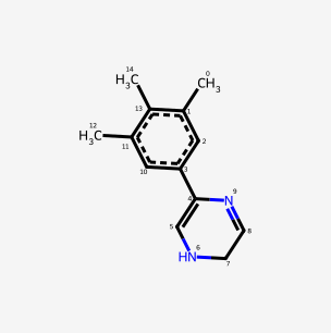 Cc1cc(C2=CNCC=N2)cc(C)c1C